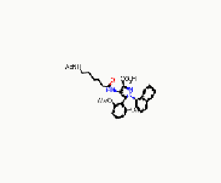 COc1cccc(OC)c1-c1c(NC(=O)CCCCCNC(C)=O)c(C(=O)O)nn1-c1cccc2ccccc12